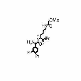 COCC(=O)NCCCC[C@H](NC(=O)[C@@H](N)c1ccc(C(C)C)c(C(C)C)c1)C(=O)C(C)C